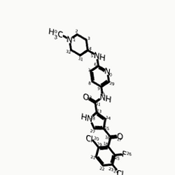 CN1CCC(Nc2ccc(NC(=O)c3cc(C(=O)c4c(Cl)ccc(Cl)c4F)c[nH]3)cn2)CC1